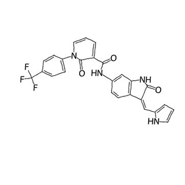 O=C1Nc2cc(NC(=O)c3cccn(-c4ccc(C(F)(F)F)cc4)c3=O)ccc2C1=Cc1ccc[nH]1